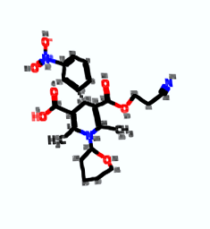 CC1=C(C(=O)O)[C@H](c2cccc([N+](=O)[O-])c2)C(C(=O)OCCC#N)=C(C)N1C1CCCCO1